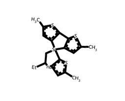 CCCCC(CC)C[Si]1(c2ccc(C)s2)c2cc(C)sc2-c2sc(C)cc21